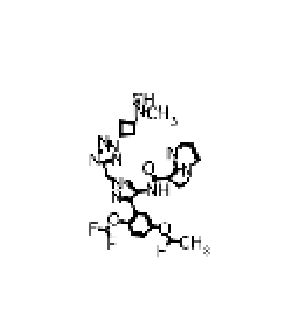 CC(F)Oc1ccc(OC(F)F)c(-c2nn(Cc3nnn([C@H]4C[C@H](N(C)C)C4)n3)cc2NC(=O)C2=C3N=CC=CN3CC2)c1